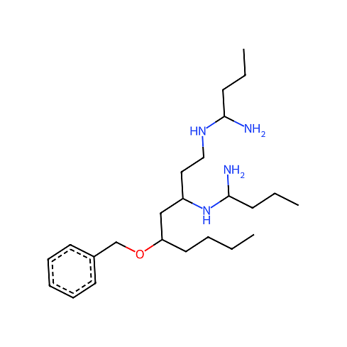 CCCCC(CC(CCNC(N)CCC)NC(N)CCC)OCc1ccccc1